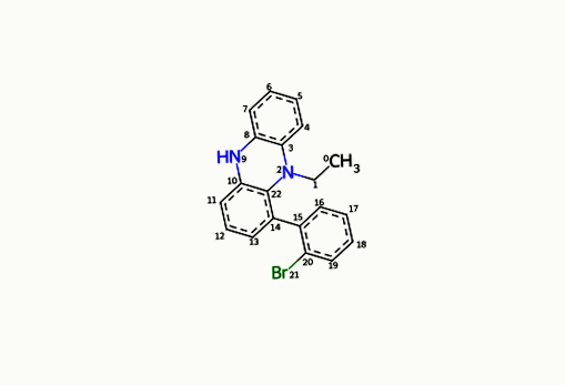 CCN1c2ccccc2Nc2cccc(-c3ccccc3Br)c21